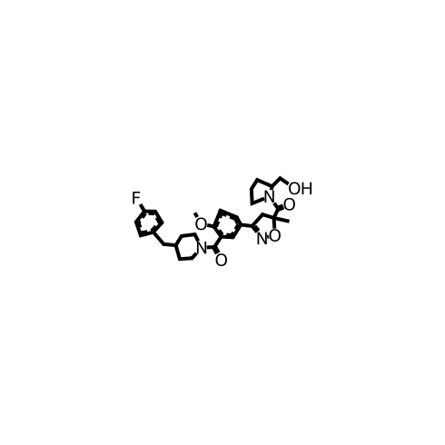 COc1ccc(C2=NOC(C)(C(=O)N3CCCC3CO)C2)cc1C(=O)N1CCC(Cc2ccc(F)cc2)CC1